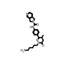 CC1CC(=O)N(CCCCCN)N=C1c1ccc(NC(=O)N2Cc3ccncc3C2)cc1